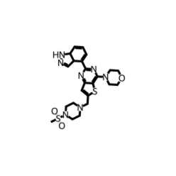 CS(=O)(=O)N1CCN(Cc2cc3nc(C4=CC=CC5NN=CC45)nc(N4CCOCC4)c3s2)CC1